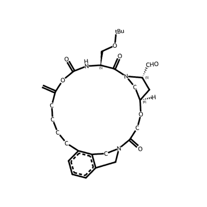 C=C1CCCCc2cccc3c2CN(C3)C(=O)CO[C@@H]2C[C@@H](C=O)N(C2)C(=O)[C@H](COC(C)(C)C)NC(=O)O1